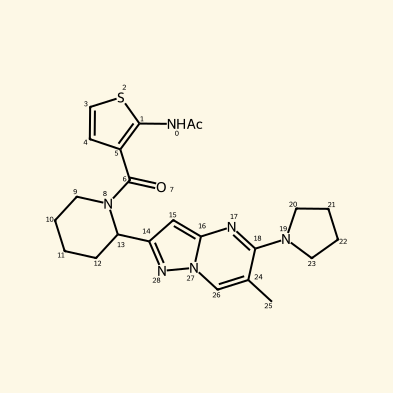 CC(=O)Nc1sccc1C(=O)N1CCCCC1c1cc2nc(N3CCCC3)c(C)cn2n1